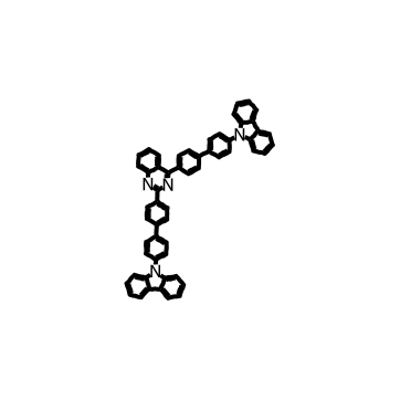 c1ccc2c(-c3ccc(-c4ccc(-n5c6ccccc6c6ccccc65)cc4)cc3)nc(-c3ccc(-c4ccc(-n5c6ccccc6c6ccccc65)cc4)cc3)nc2c1